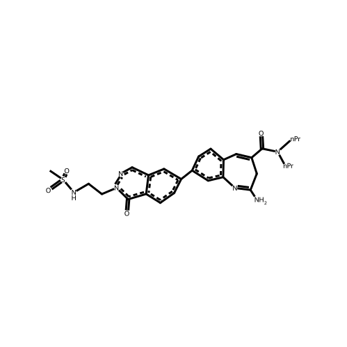 CCCN(CCC)C(=O)C1=Cc2ccc(-c3ccc4c(=O)n(CCNS(C)(=O)=O)ncc4c3)cc2N=C(N)C1